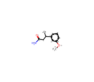 CCC(CC(N)=O)c1cccc(OC(F)(F)F)c1